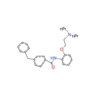 CCCN(CCC)CCOc1ccccc1NC(=O)c1ccc(Cc2ccccc2)cc1